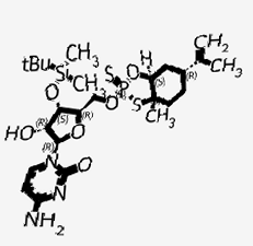 C=C(C)[C@@H]1CC[C@]2(C)S[P@@](=S)(OC[C@H]3O[C@@H](n4ccc(N)nc4=O)[C@H](O)[C@@H]3O[Si](C)(C)C(C)(C)C)O[C@H]2C1